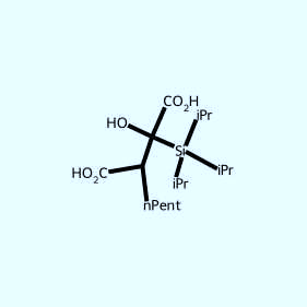 CCCCCC(C(=O)O)C(O)(C(=O)O)[Si](C(C)C)(C(C)C)C(C)C